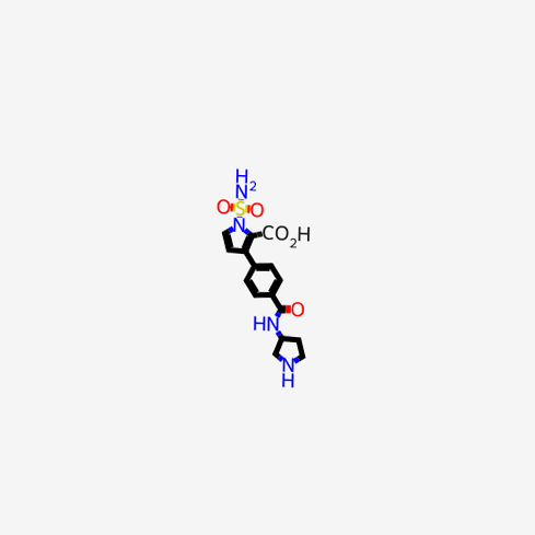 NS(=O)(=O)n1ccc(-c2ccc(C(=O)NC3CCNC3)cc2)c1C(=O)O